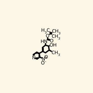 CC1CC(c2ccncc2[N+](=O)[O-])=CC(NC(=O)OC(C)(C)C)C1O